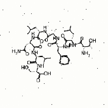 CC(C)C[C@H](NC(=O)[C@H](C)NC(=O)[C@H](Cc1ccccc1)NC(=O)[C@H](CC(C)C)NC(=O)[C@@H](N)[C@@H](C)O)C(=O)N[C@@H](CC(N)=O)C(=O)N[C@@H](CC(C)C)C(=O)N[C@@H](CO)C(=O)O